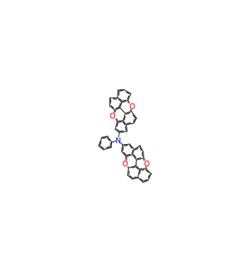 c1ccc(N(c2cc3ccc4oc5cccc6ccc7oc(c2)c3c4-c7c65)c2cc3ccc4oc5cccc6ccc7oc(c2)c3c4-c7c65)cc1